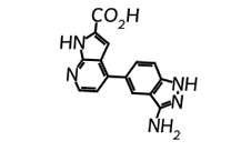 Nc1n[nH]c2ccc(-c3ccnc4[nH]c(C(=O)O)cc34)cc12